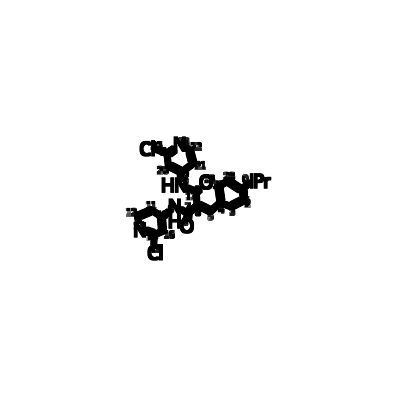 CC(C)c1ccc(C=C(C(=O)Nc2ccnc(Cl)c2)C(=O)Nc2ccnc(Cl)c2)cc1